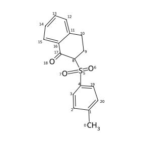 Cc1ccc(S(=O)(=O)C2CCc3ccccc3C2=O)cc1